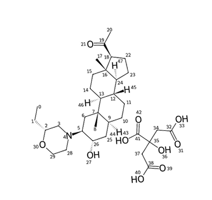 CC[C@@H]1CN([C@H]2C[C@@]3(C)[C@@H](CC[C@@H]4[C@@H]3CC[C@]3(C)[C@@H](C(C)=O)CC[C@@H]43)C[C@@H]2O)CCO1.O=C(O)CC(O)(CC(=O)O)C(=O)O